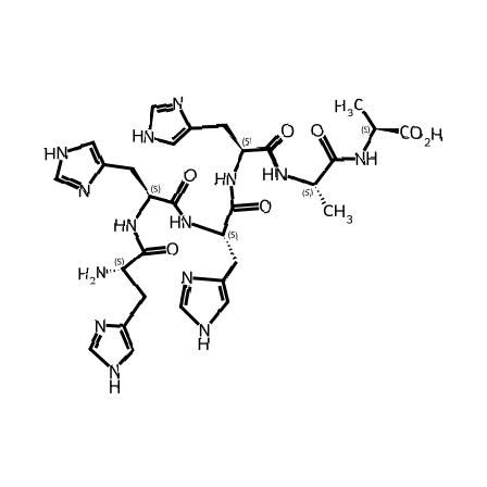 C[C@H](NC(=O)[C@H](C)NC(=O)[C@H](Cc1c[nH]cn1)NC(=O)[C@H](Cc1c[nH]cn1)NC(=O)[C@H](Cc1c[nH]cn1)NC(=O)[C@@H](N)Cc1c[nH]cn1)C(=O)O